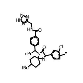 CCCC(c1ccc(C(=O)NCc2nn[nH]n2)cc1)N1C(=O)C(c2ccc(F)c(Cl)c2)=NC12CCC(C(C)(C)C)CC2